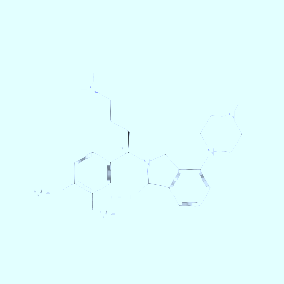 CCNCCC[C@H](c1ccc(OC)c(OC)c1)N1Cc2c(cccc2N2CCN(CC)CC2)C1C=O